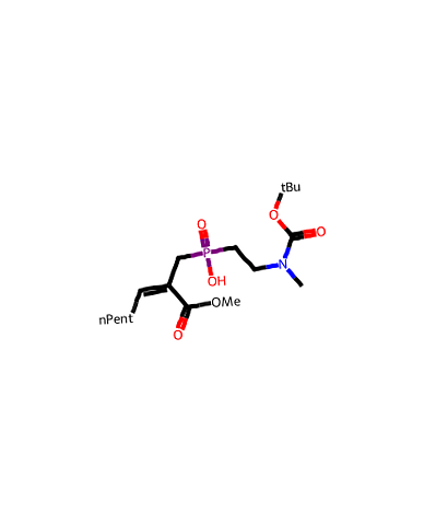 CCCCCC=C(CP(=O)(O)CCN(C)C(=O)OC(C)(C)C)C(=O)OC